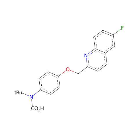 CC(C)(C)N(C(=O)O)c1ccc(OCc2ccc3cc(F)ccc3n2)cc1